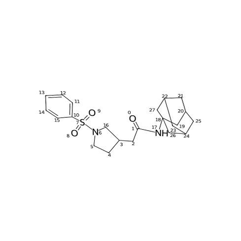 O=C(CC1CCN(S(=O)(=O)c2ccccc2)C1)NC12CC3CC(CC(C3)C1)C2